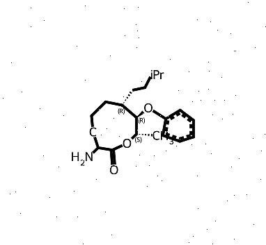 CC(C)CC[C@H]1CCCC(N)C(=O)O[C@@H](C)[C@@H]1Oc1ccccc1